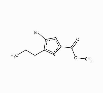 CCCc1sc(C(=O)OC)cc1Br